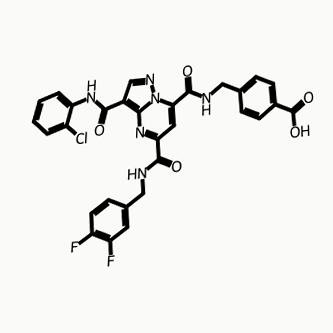 O=C(O)c1ccc(CNC(=O)c2cc(C(=O)NCc3ccc(F)c(F)c3)nc3c(C(=O)Nc4ccccc4Cl)cnn23)cc1